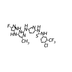 Cc1cc(Nc2cc(F)n[nH]2)nc(Nc2ccc(NC(=S)Nc3ccc(Cl)c(C(F)(F)F)c3)nc2)n1